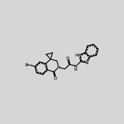 O=C(CN1CC2(CC2)c2cc(Br)ccc2C1=O)Nc1nc2ccccc2[nH]1